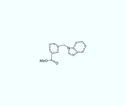 COC(=O)c1cccc(Cn2ccc3ccccc32)c1